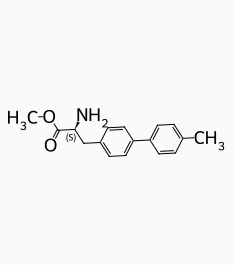 COC(=O)[C@@H](N)Cc1ccc(-c2ccc(C)cc2)cc1